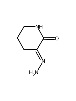 NN=C1CCCNC1=O